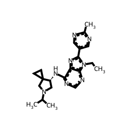 CCn1c(-c2cnc(C)nc2)nc2c(N[C@@H]3CN(C(C)C)CC34CC4)ncnc21